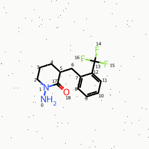 NN1CCCC(Cc2ccccc2C(F)(F)F)C1=O